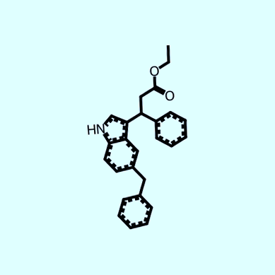 CCOC(=O)CC(c1ccccc1)c1c[nH]c2ccc(Cc3ccccc3)cc12